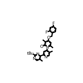 Cc1cnc(-c2nc(C(C)(C)C)ncc2C)cc1-n1c(C)cc(OCc2ccc(F)cc2F)c(C)c1=O